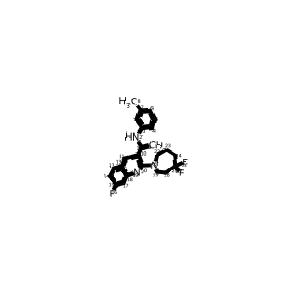 C=C(Nc1cccc(C)c1)c1cc2ccc(F)cc2nc1N1CCCC(F)(F)CC1